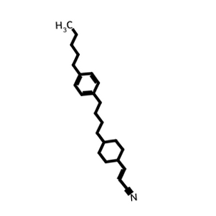 CCCCCc1ccc(CCCCC2CCC(C=CC#N)CC2)cc1